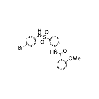 COc1ccccc1C(=O)Nc1cccc(S(=O)(=O)Nc2ccc(Br)cc2)c1